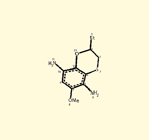 CCC1CSc2c(N)c(OC)cc(N)c2O1